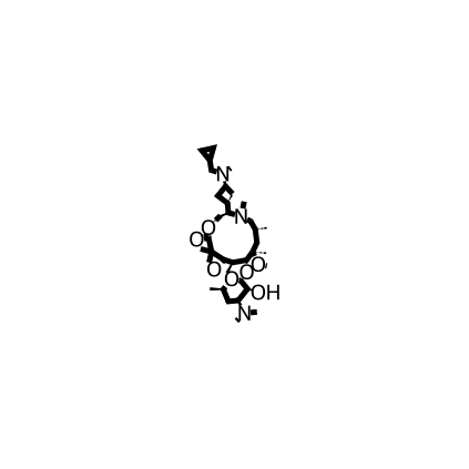 CO[C@]1(C)C[C@@H](C)CN(C)[C@H]([C@H]2C[C@H](N(C)CC3CC3)C2)COC(=O)C(C)(C)C(=O)[C@H](C)[C@H]1O[C@@H]1O[C@H](C)C[C@H](N(C)C)[C@H]1O